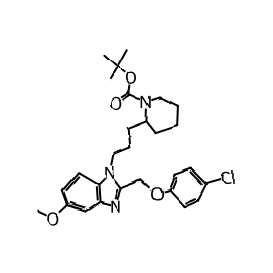 COc1ccc2c(c1)nc(COc1ccc(Cl)cc1)n2CCCC1CCCCN1C(=O)OC(C)(C)C